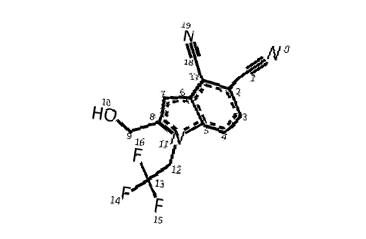 N#Cc1ccc2c(cc(CO)n2CC(F)(F)F)c1C#N